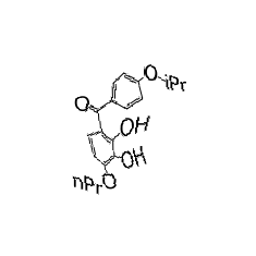 CCCOc1ccc(C(=O)c2ccc(OC(C)C)cc2)c(O)c1O